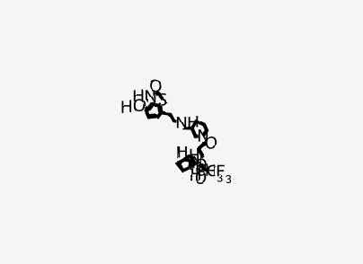 CN(CCC(=O)N1CCCC(CNCCc2ccc(O)c3[nH]c(=O)sc23)C1)[C@H]1[C@H]2CC[C@@H]1[C@H](OC(=O)C(F)(F)F)C2